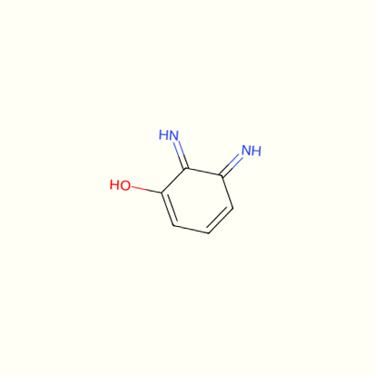 N=C1C=CC=C(O)C1=N